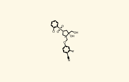 N#Cc1ccc(OC[C@H]2CN(S(=O)(=O)c3ccccc3Cl)C[C@@]2(O)CO)cc1F